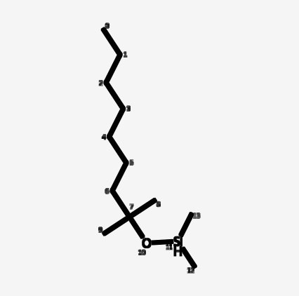 CCCCCCCC(C)(C)O[SiH](C)C